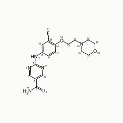 NC(=O)c1cnc(Nc2ccc(OCCN3CCOCC3)c(F)c2)nc1